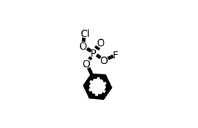 O=P(OF)(OCl)Oc1ccccc1